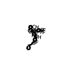 Cc1cccc(C)c1NC(=O)c1cnc(Nc2ccc(OCCCN3CCCCC3)c(F)c2)nc1Oc1ccc(OC(F)(F)F)cc1